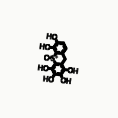 [O-][S+]1c2c(ccc(O)c2O)Cc2c(O)c(O)c(O)c(O)c21